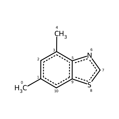 Cc1cc(C)c2ncsc2c1